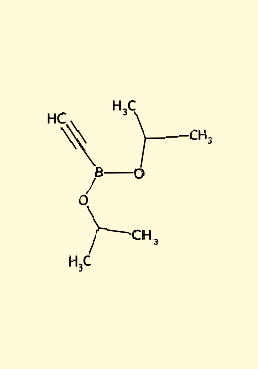 C#CB(OC(C)C)OC(C)C